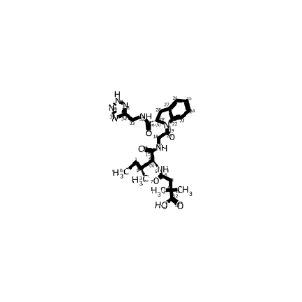 CC[C@H](C)[C@H](NC(=O)CC(C)(C)C(=O)O)C(=O)NCC(=O)N1c2ccccc2C[C@H]1C(=O)NCc1nn[nH]n1